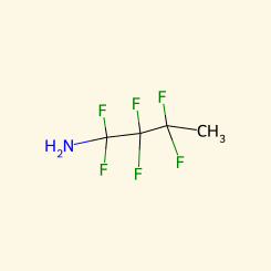 CC(F)(F)C(F)(F)C(N)(F)F